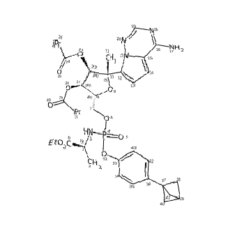 CCOC(=O)[C@H](C)NP(=O)(OC[C@H]1O[C@@](C)(c2ccc3c(N)ncnn23)[C@H](OC(=O)C(C)C)[C@@H]1OC(=O)C(C)C)Oc1ccc(C23CC(C2)C3)cc1